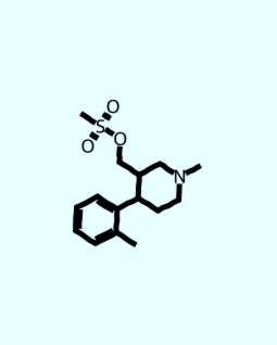 Cc1ccccc1C1CCN(C)CC1COS(C)(=O)=O